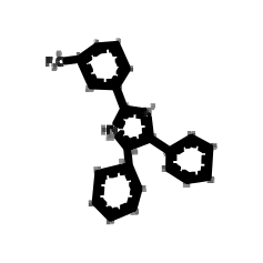 FC(F)(F)c1cccc(-c2nc(-c3ccccc3)c(-c3ccccc3)[nH]2)c1